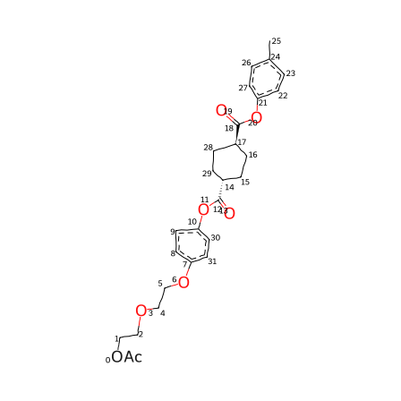 CC(=O)OCCOCCOc1ccc(OC(=O)[C@H]2CC[C@H](C(=O)Oc3ccc(C)cc3)CC2)cc1